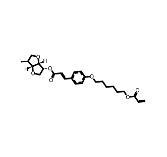 C=CC(=O)OCCCCCCOc1ccc(/C=C/C(=O)O[C@@H]2CO[C@H]3[C@@H]2OC[C@@H]3C)cc1